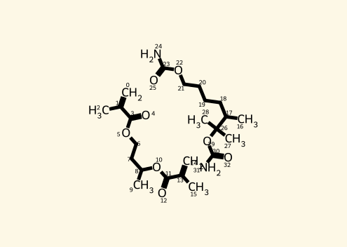 C=C(C)C(=O)OCCC(C)OC(=O)C(=C)C.CC(CCCCOC(N)=O)C(C)(C)OC(N)=O